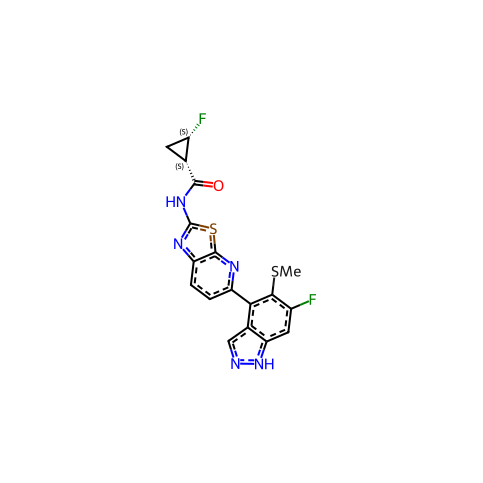 CSc1c(F)cc2[nH]ncc2c1-c1ccc2nc(NC(=O)[C@@H]3C[C@@H]3F)sc2n1